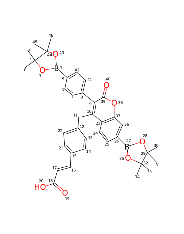 CC1(C)OB(c2ccc(-c3c(Cc4ccc(/C=C/C(=O)O)cc4)c4ccc(B5OC(C)(C)C(C)(C)O5)cc4oc3=O)cc2)OC1(C)C